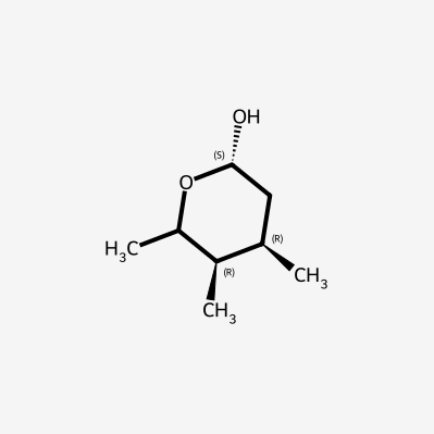 CC1O[C@H](O)C[C@@H](C)[C@H]1C